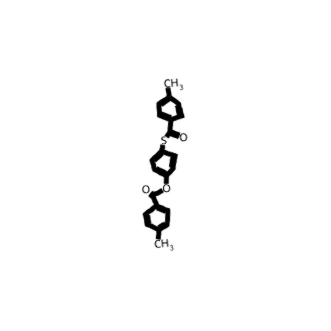 Cc1ccc(C(=O)Oc2ccc(SC(=O)c3ccc(C)cc3)cc2)cc1